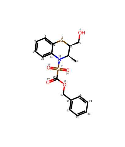 C[C@@H]1[C@H](CO)Sc2ccccc2N1S(=O)(=O)C(=O)OCc1ccccc1